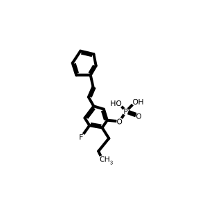 CCCc1c(F)cc(C=Cc2ccccc2)cc1OP(=O)(O)O